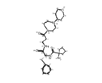 NC1(C(=O)N[C@H](Cc2ccccc2)C(=O)NCCC(=O)N2CCN(C3CCOCC3)CC2)CCCC1